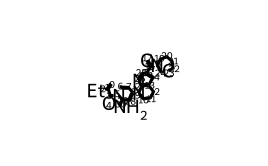 C=C(CC)C(=O)N1C=CC(N2CCCc3cc(C(=O)N4CCCCCC4)cnc32)=CC1N